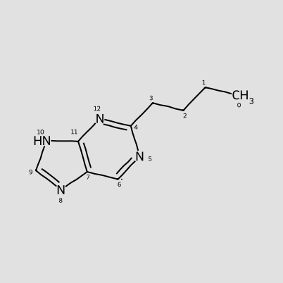 CCCCc1n[c]c2nc[nH]c2n1